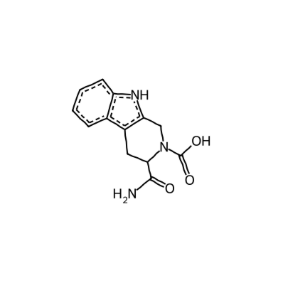 NC(=O)C1Cc2c([nH]c3ccccc23)CN1C(=O)O